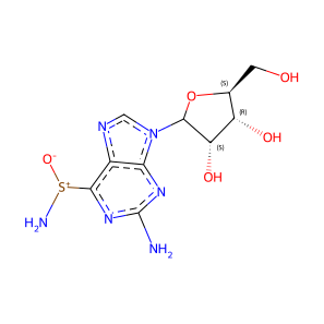 Nc1nc([S+](N)[O-])c2ncn(C3O[C@@H](CO)[C@H](O)[C@@H]3O)c2n1